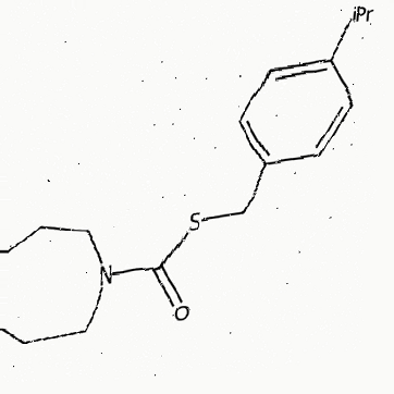 CC(C)c1ccc(CSC(=O)N2CCCCCC2)cc1